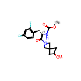 CC(C)(C)OC(=O)N[C@@H](Cc1ccc(F)cc1F)C(=O)N1CC2(CC(O)C2)C1